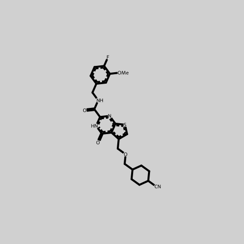 COc1cc(CNC(=O)c2nc3scc(COCC4CCC(C#N)CC4)c3c(=O)[nH]2)ccc1F